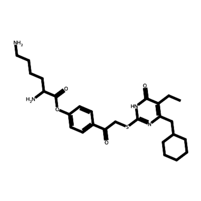 CCc1c(CC2CCCCC2)nc(SCC(=O)c2ccc(OC(=O)C(N)CCCCN)cc2)[nH]c1=O